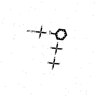 Cc1ccccc1.Cl.F[B-](F)(F)F.F[B-](F)(F)F.F[B-](F)(F)F.[KH]